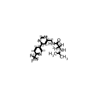 [2H]C([2H])(NC(C)C)C(=O)NCc1cc(-c2ccc(C(F)(F)F)nc2)ncn1